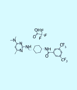 Cc1cc(N(C)C)nc(NC[C@H]2CC[C@@H](NC(=O)c3cc(C(F)(F)F)cc(C(F)(F)F)c3)CC2)n1.O=C(O)C(F)(F)F